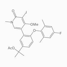 COc1c(-c2cc(C(C)(C)OC(C)=O)ccc2Oc2c(C)cc(F)cc2C)cn(C)c(=O)c1I